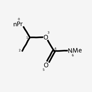 CCCC(C)OC(=O)NC